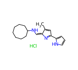 CC1=CC(c2ccc[nH]2)=N/C1=C/NC1CCCCCCC1.Cl